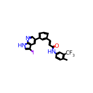 Cc1ccc(NC(=O)C=Cc2cccc(-c3cnc4[nH]cc(I)c4c3)c2)cc1C(F)(F)F